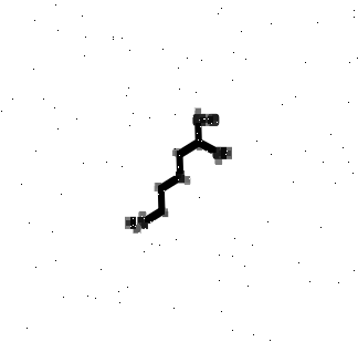 NCCSCC(O)C=O